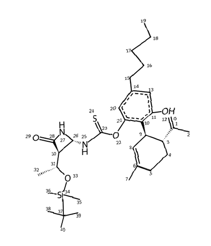 C=C(C)[C@@H]1CCC(C)=C[C@H]1c1c(O)cc(CCCCC)cc1OC(=S)N[C@H]1NC(=O)[C@@H]1[C@@H](C)O[Si](C)(C)C(C)(C)C